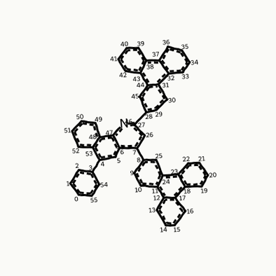 c1ccc(-c2cc3c(-c4ccc5c6ccccc6c6ccccc6c5c4)cc(-c4ccc5c6ccccc6c6ccccc6c5c4)nc3c3ccccc23)cc1